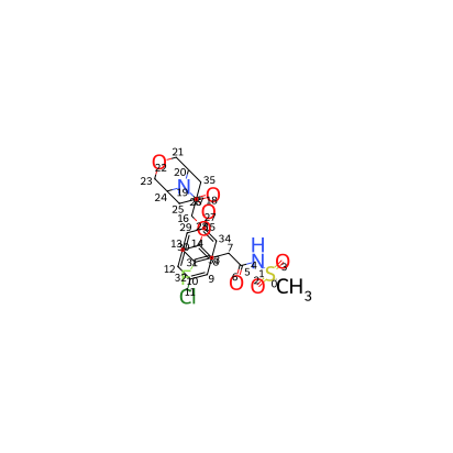 CS(=O)(=O)NC(=O)Cc1cc(Cl)ccc1OCC(=O)N1C2COCC1CC(Oc1ccc(F)cc1)C2